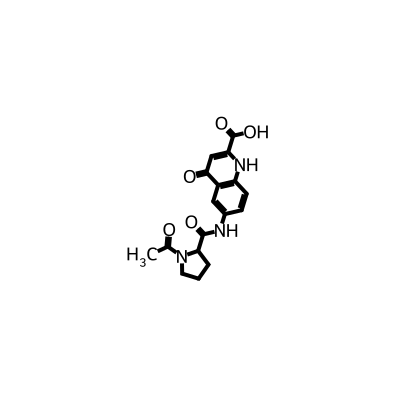 CC(=O)N1CCCC1C(=O)Nc1ccc2[nH]c(C(=O)O)cc(=O)c2c1